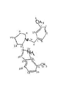 Cc1cccc(CN2CCCCC2c2cc3cccc(C)c3[nH]2)c1